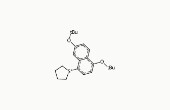 CC(C)(C)Oc1ccc2c(OC(C)(C)C)ccc([S+]3CCCC3)c2c1